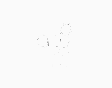 CC(=Cc1ccc(Cl)cc1)C(O)(CCc1ccccc1)C(C)CN(C)C